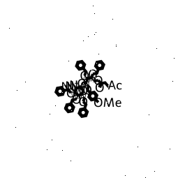 COc1ccc(OC[C@@H](O[C@H]2O[C@H](COCc3ccccc3)[C@@H](OCc3ccccc3)[C@H](OCc3ccccc3)[C@H]2N=[N+]=[N-])[C@@H](OCc2ccccc2)[C@H](COC(=O)CCC(C)=O)OCc2ccccc2)cc1